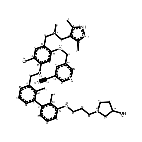 Cc1n[nH]c(C)c1CN(C)Cc1cc(Cl)c(OCc2cccc(-c3cccc(OCCCN4CCC(O)C4)c3C)c2C)cc1OCc1cncc(C#N)c1